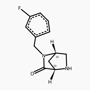 O=C1[C@@H]2C[C@@H](CN2)N1Cc1cccc(F)c1